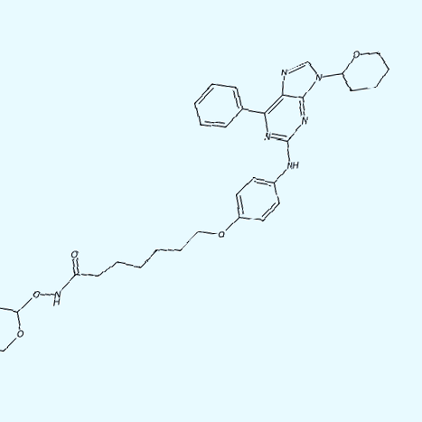 O=C(CCCCCCOc1ccc(Nc2nc(-c3ccccc3)c3ncn(C4CCCCO4)c3n2)cc1)NOC1CCCCO1